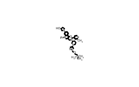 Cc1cc(CN(Cc2cn(C(C)C)c3cc(N4CC[C@@H](O)C4)ccc3c2=O)[C@H]2CCCN(c3cnn(COCC[Si](C)(C)C)c3)C2)ccn1